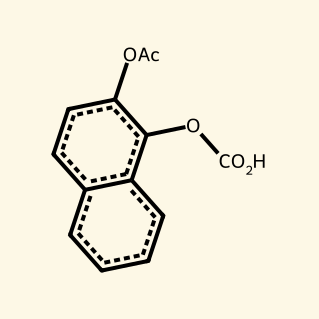 CC(=O)Oc1ccc2ccccc2c1OC(=O)O